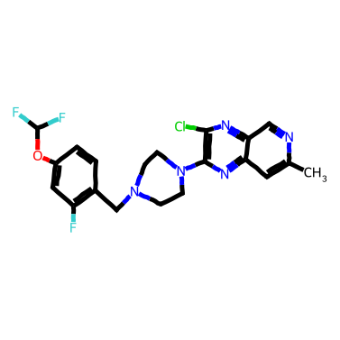 Cc1cc2nc(N3CCN(Cc4ccc(OC(F)F)cc4F)CC3)c(Cl)nc2cn1